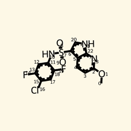 COc1ccc2c(S(=O)(=O)Nc3cc(F)c(Cl)cc3F)c[nH]c2n1